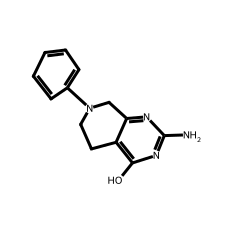 Nc1nc(O)c2c(n1)CN(c1ccccc1)CC2